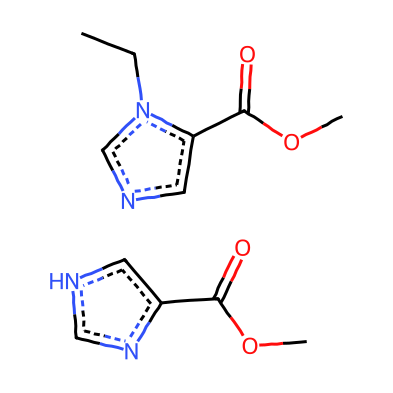 CCn1cncc1C(=O)OC.COC(=O)c1c[nH]cn1